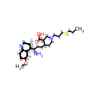 CCCSCCCN1CCC(CC[C@@H](N)c2c(F)cnc3ccc(OC)cc23)C(C(=O)O)C1